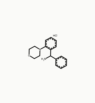 Cl.NC(c1ccccc1)c1ccccc1N1CCOCC1